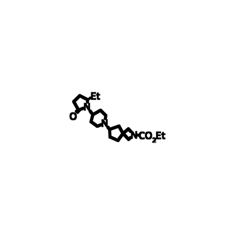 CCOC(=O)N1CC2(CCC(N3CCC(N4C(=O)CC[C@H]4CC)CC3)C2)C1